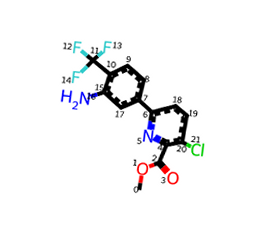 COC(=O)c1nc(-c2ccc(C(F)(F)F)c(N)c2)ccc1Cl